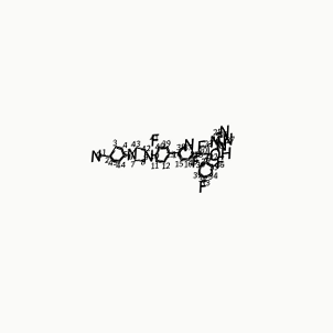 N#Cc1ccc(N2CCN(c3ccc(-c4ccc(C(F)(F)C(O)(Cn5cnnn5)c5ccc(F)cc5F)nc4)cc3F)CC2)cc1